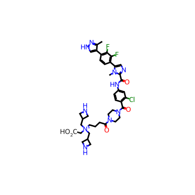 Cc1n[nH]cc1-c1ccc(-c2cnc(C(=O)Nc3ccc(C(=O)N4CCN(C(=O)CCC[N+](CC(=O)O)(CC5CNC5)CC5CNC5)CC4)c(Cl)c3)n2C)c(F)c1F